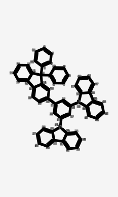 c1ccc(C2(c3ccccc3)c3ccccc3-c3ccc(-c4cc(-n5c6ccccc6c6ccccc65)cc(-n5c6ccccc6c6ccccc65)c4)cc32)cc1